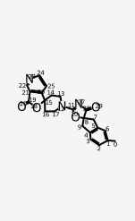 Cc1ccc2c(c1)CC1(C2)OC(N2CCC3(CC2)OC(=O)c2cnccc23)=NC1=O